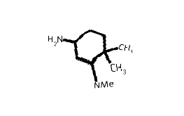 CNC1CC(N)CCC1(C)C